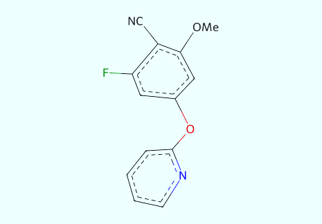 COc1cc(Oc2ccccn2)cc(F)c1C#N